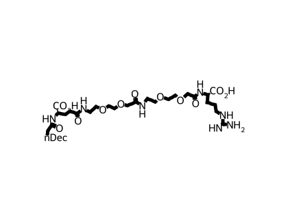 CCCCCCCCCCCC(=O)N[C@@H](CCC(=O)NCCOCCOCC(=O)NCCOCCOCC(=O)N[C@H](CCCNC(=N)N)C(=O)O)C(=O)O